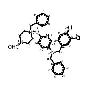 O=CN1CC[N+](Cc2ccccc2)(Oc2ccc(N(Cc3ccccc3)Cc3ccc(Cl)c(Cl)c3)cn2)CC1